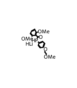 COCCOc1ccc(PC(=O)c2c(OC)cccc2OC)cc1.[LiH]